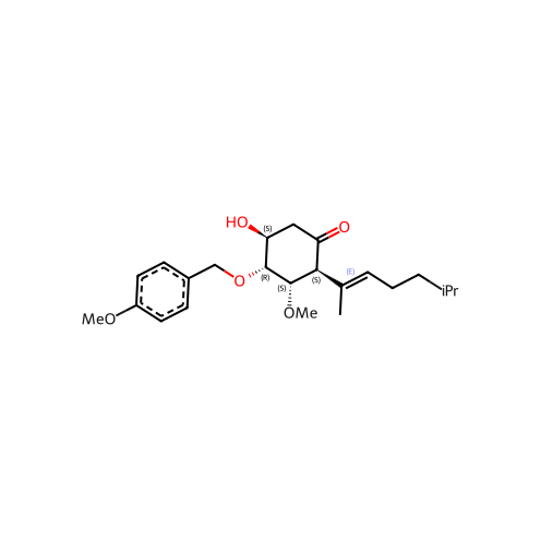 COc1ccc(CO[C@H]2[C@@H](OC)[C@H](/C(C)=C/CCC(C)C)C(=O)C[C@@H]2O)cc1